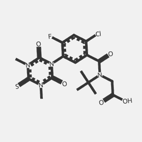 Cn1c(=S)n(C)c(=O)n(-c2cc(C(=O)N(CC(=O)O)C(C)(C)C)c(Cl)cc2F)c1=O